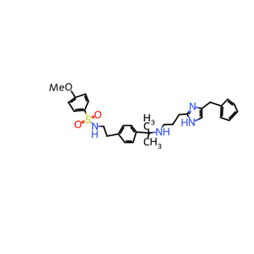 COc1ccc(S(=O)(=O)NCCc2ccc(C(C)(C)NCCCc3nc(Cc4ccccc4)c[nH]3)cc2)cc1